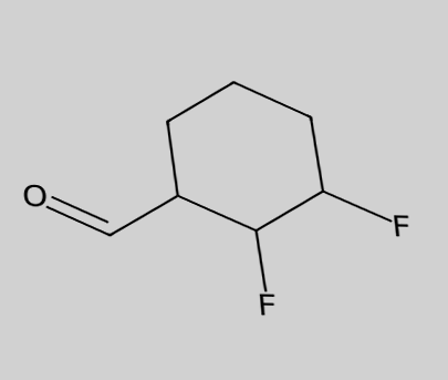 O=CC1CCCC(F)C1F